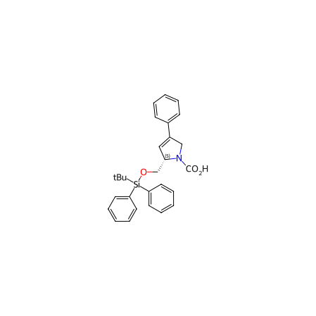 CC(C)(C)[Si](OC[C@@H]1C=C(c2ccccc2)CN1C(=O)O)(c1ccccc1)c1ccccc1